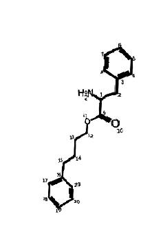 NC(Cc1ccccc1)C(=O)OCCCCc1ccccc1